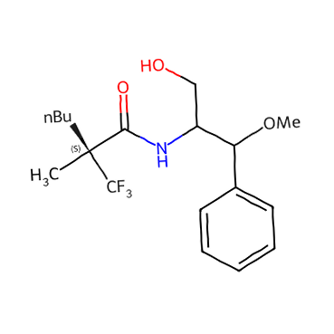 CCCC[C@@](C)(C(=O)NC(CO)C(OC)c1ccccc1)C(F)(F)F